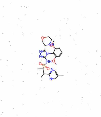 COc1cccc(OC)c1-n1c(NS(=O)(=O)C(C)C(C)c2ncc(C)cn2)nnc1[C@@H]1COCCN1